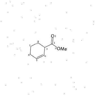 COC(=O)C1C=CCCC1